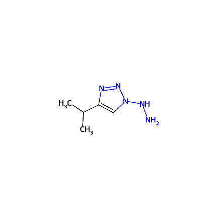 CC(C)c1cn(NN)nn1